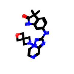 CC1(C)C(=O)Nc2cc(NC3=N[N+]4(N5CC6(COC6)C5)C=CN=CC4=N3)ccc21